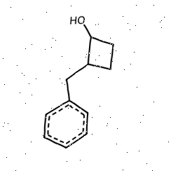 OC1CCC1Cc1ccccc1